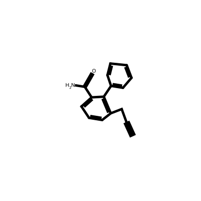 C#CCc1cccc(C(N)=O)c1-c1ccccc1